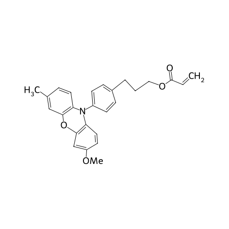 C=CC(=O)OCCCc1ccc(N2c3ccc(C)cc3Oc3cc(OC)ccc32)cc1